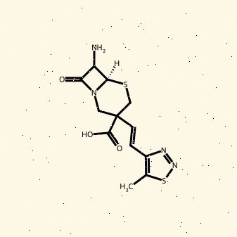 Cc1snnc1C=CC1(C(=O)O)CS[C@@H]2C(N)C(=O)N2C1